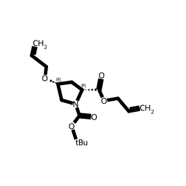 C=CCOC(=O)[C@H]1C[C@@H](OCC=C)CN1C(=O)OC(C)(C)C